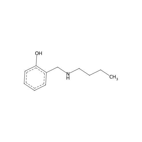 CCCCNCc1ccccc1O